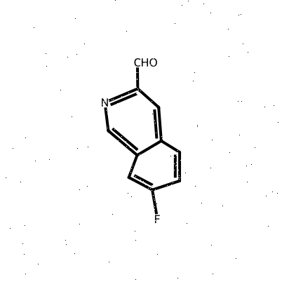 O=Cc1cc2ccc(F)cc2cn1